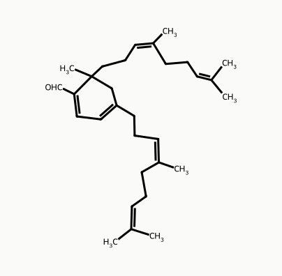 CC(C)=CCCC(C)=CCCC1=CC=C(C=O)C(C)(CCC=C(C)CCC=C(C)C)C1